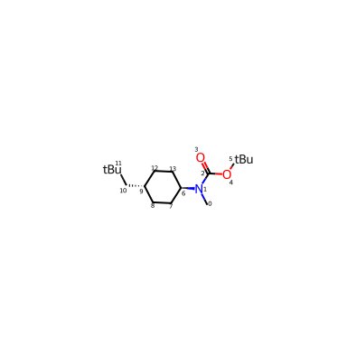 CN(C(=O)OC(C)(C)C)[C@H]1CC[C@H](CC(C)(C)C)CC1